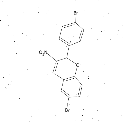 O=[N+]([O-])C1=Cc2cc(Br)ccc2OC1c1ccc(Br)cc1